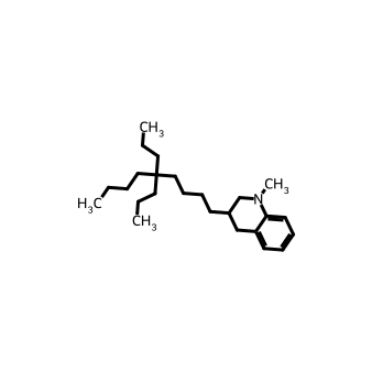 CCCCC(CCC)(CCC)CCCCC1Cc2ccccc2N(C)C1